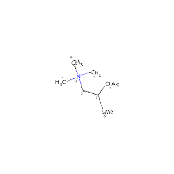 CSC(C[N+](C)(C)C)OC(C)=O